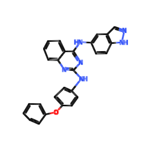 c1ccc(Oc2ccc(Nc3nc(Nc4ccc5[nH]ncc5c4)c4ccccc4n3)cc2)cc1